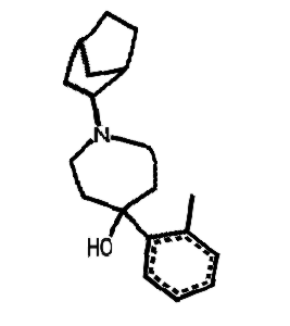 Cc1ccccc1C1(O)CCN(C2CC3CCC2C3)CC1